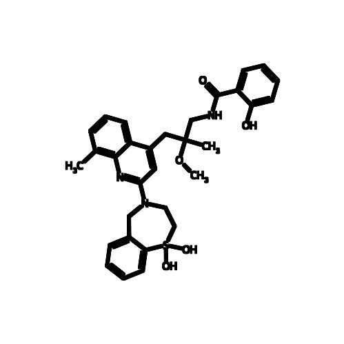 COC(C)(CNC(=O)c1ccccc1O)Cc1cc(N2CCS(O)(O)c3ccccc3C2)nc2c(C)cccc12